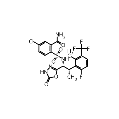 Cc1c(C(F)(F)F)ccc(F)c1[C@@H](C)[C@H](NS(=O)(=O)c1ccc(Cl)cc1C(N)=O)c1n[nH]c(=O)o1